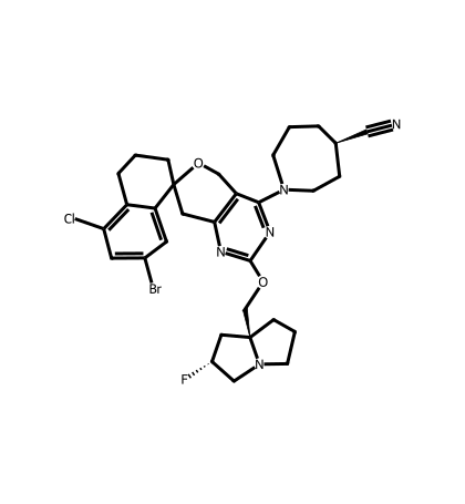 N#C[C@@H]1CCCN(c2nc(OC[C@@]34CCCN3C[C@H](F)C4)nc3c2COC2(CCCc4c(Cl)cc(Br)cc42)C3)CC1